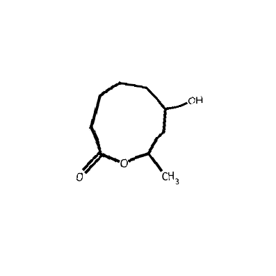 CC1CC(O)CCCCC(=O)O1